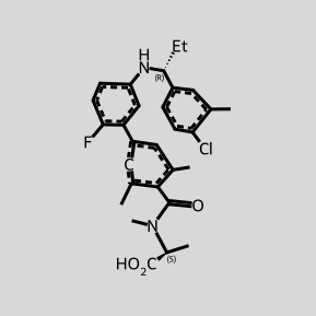 CC[C@@H](Nc1ccc(F)c(-c2cc(C)c(C(=O)N(C)[C@@H](C)C(=O)O)c(C)c2)c1)c1ccc(Cl)c(C)c1